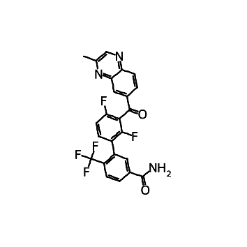 Cc1cnc2ccc(C(=O)c3c(F)ccc(-c4cc(C(N)=O)ccc4C(F)(F)F)c3F)cc2n1